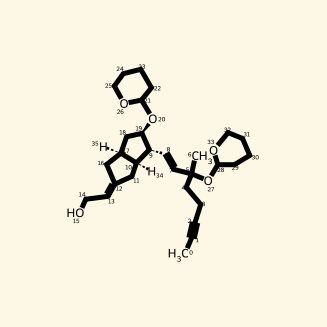 CC#CCCC(C)(C=C[C@@H]1[C@H]2CC(=CCO)C[C@H]2C[C@H]1OC1CCCCO1)OC1CCCCO1